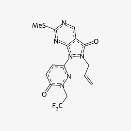 C=CCn1c(=O)c2cnc(SC)nc2n1-c1ccc(=O)n(CC(F)(F)F)n1